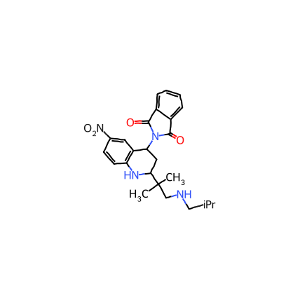 CC(C)CNCC(C)(C)C1CC(N2C(=O)c3ccccc3C2=O)c2cc([N+](=O)[O-])ccc2N1